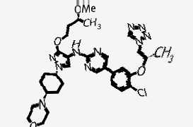 CO[C@@H](C)CCOc1nn([C@H]2CC[C@H](N3CCOCC3)CC2)cc1Nc1ncc(-c2ccc(Cl)c(O[C@@H](C)Cn3cnnn3)c2)cn1